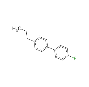 CCCc1[c]cc(-c2ccc(F)cc2)cc1